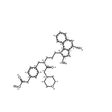 CCCCc1nc2c(N)nc3ccccc3c2n1CCCN(Cc1ccc(CC(=O)OC)cc1)C(=O)CN1CCOCC1